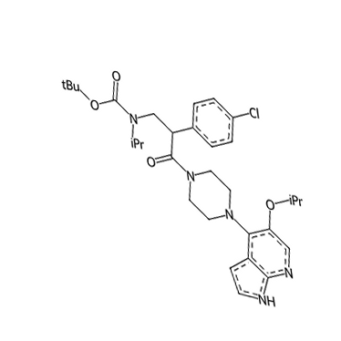 CC(C)Oc1cnc2[nH]ccc2c1N1CCN(C(=O)C(CN(C(=O)OC(C)(C)C)C(C)C)c2ccc(Cl)cc2)CC1